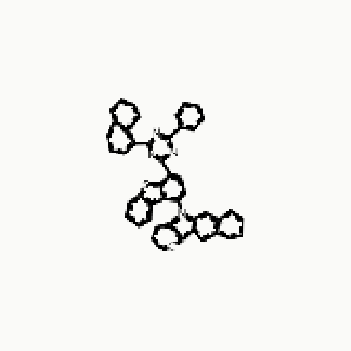 c1ccc(-c2nc(-c3cccc4ccccc34)nc(-c3ccc(-n4c5ccccc5c5cc6ccccc6cc54)c4c3sc3ccccc34)n2)cc1